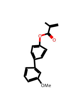 C=C(C)C(=O)Oc1ccc(-c2[c]ccc(OC)c2)cc1